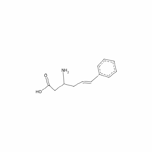 NC(C/C=C/c1ccccc1)CC(=O)O